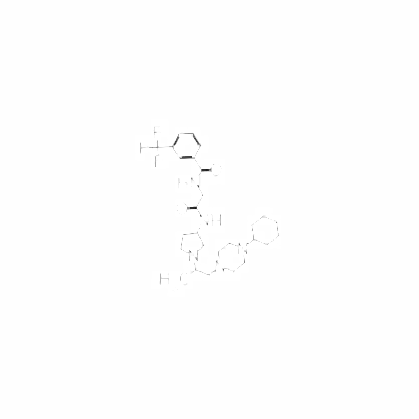 CC(CN1CCN(C2CCCCC2)CC1)N1CC[C@@H](NC(=O)CNC(=O)c2cccc(C(F)(F)F)c2)C1